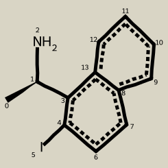 C[C@@H](N)c1c(I)ccc2ccccc12